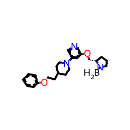 BN1CCC[C@H]1COc1cncc(N2CCC(CCOc3ccccc3)CC2)c1